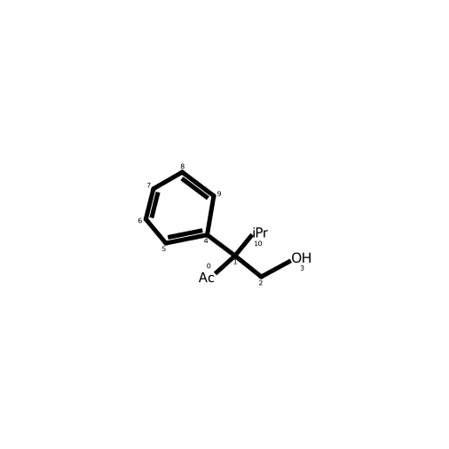 CC(=O)C(CO)(c1ccccc1)C(C)C